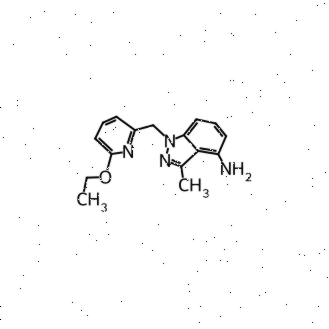 CCOc1cccc(Cn2nc(C)c3c(N)cccc32)n1